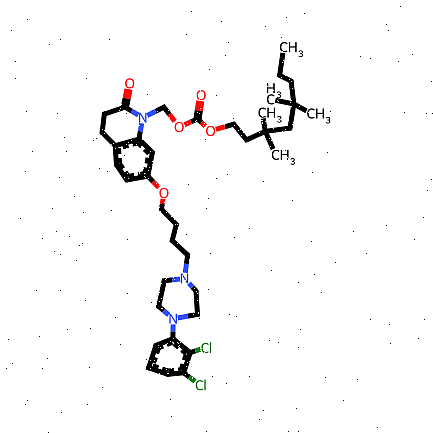 CCCC(C)(C)CC(C)(C)CCOC(=O)OCN1C(=O)CCc2ccc(OCCCCN3CCN(c4cccc(Cl)c4Cl)CC3)cc21